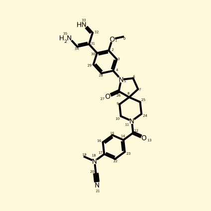 COc1cc(N2CCC3(CCN(C(=O)c4ccc(N(C)C#N)cc4)CC3)C2=O)ccc1/C(C=N)=C/N